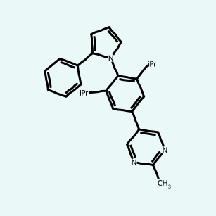 Cc1ncc(-c2cc(C(C)C)c(-n3cccc3-c3ccccc3)c(C(C)C)c2)cn1